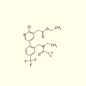 CCOC(=O)Cc1cc(-c2ccc(C(F)(F)F)cc2CN(CC)C(=O)C2CC2)cnc1Cl